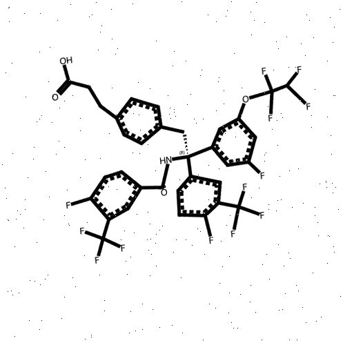 O=C(O)CCc1ccc(C[C@](NC(=O)c2ccc(F)c(C(F)(F)F)c2)(c2cc(F)cc(OC(F)(F)C(F)F)c2)c2ccc(F)c(C(F)(F)F)c2)cc1